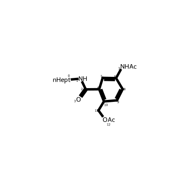 CCCCCCCNC(=O)c1cc(NC(C)=O)ccc1COC(C)=O